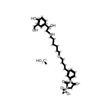 CC(=O)O.CS(=O)(=O)N1CC(=O)N(c2cccc(CCCCOCCCCCCNC[C@H](O)c3ccc(O)c(CO)c3)c2)C1=O